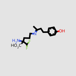 CC(CCc1ccc(O)cc1)=NCCCC(N)(C(=O)O)C(F)F